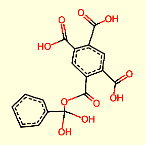 O=C(O)c1cc(C(=O)O)c(C(=O)OC(O)(O)c2ccccc2)cc1C(=O)O